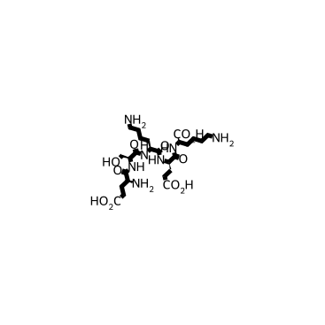 NCCCC[C@H](NC(=O)[C@H](CCC(=O)O)NC(=O)[C@H](CCCCN)NC(=O)[C@H](CO)NC(=O)[C@@H](N)CCC(=O)O)C(=O)O